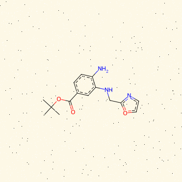 CC(C)(C)OC(=O)c1ccc(N)c(NCc2ncco2)c1